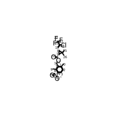 Cc1ccc([N+](=O)[O-])c(C)c1COC(=O)[C@@H]1[C@H](C=C(Cl)C(F)(F)F)C1(C)C